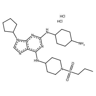 CCCS(=O)(=O)N1CCC(Nc2nc(NC3CCC(N)CC3)nc3c2ncn3C2CCCC2)CC1.Cl.Cl